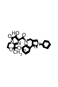 CC1(C)OCCn2c1nc(C(=O)NCc1cn(-c3ccccc3)nc1-c1ccccc1)c(O)c2=O